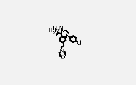 C/C(N)=C1\c2ccc(CCN3CCOCC3)cc2N(c2ccc(Cl)cc2)CCN1N